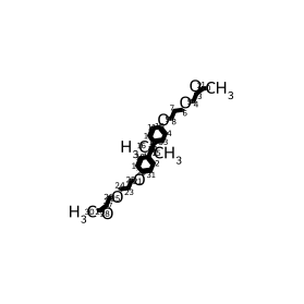 CC1OC1COCCCOc1ccc(C(C)(C)c2ccc(OCCCOCC3OC3C)cc2)cc1